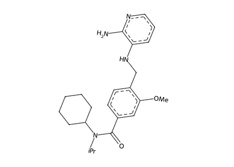 COc1cc(C(=O)N(C(C)C)C2CCCCC2)ccc1CNc1cccnc1N